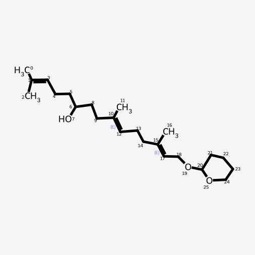 CC(C)=CCCC(O)CC/C(C)=C/CC/C(C)=C/COC1CCCCO1